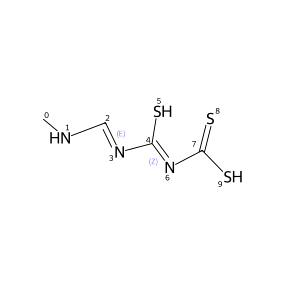 CN/C=N/C(S)=N/C(=S)S